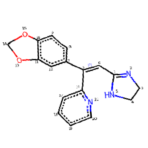 C(/C1=NCCN1)=C(\c1ccc2c(c1)OCO2)c1ccccn1